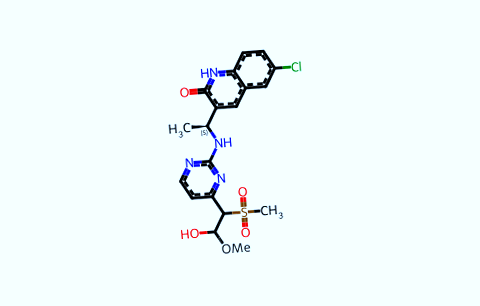 COC(O)C(c1ccnc(N[C@@H](C)c2cc3cc(Cl)ccc3[nH]c2=O)n1)S(C)(=O)=O